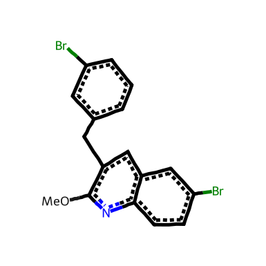 COc1nc2ccc(Br)cc2cc1Cc1cccc(Br)c1